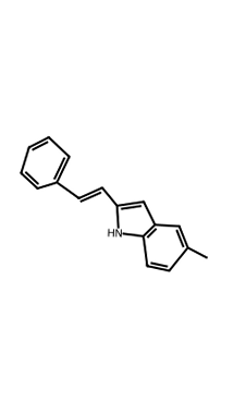 Cc1ccc2[nH]c(/C=C/c3ccccc3)cc2c1